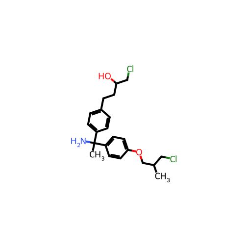 CC(CCl)COc1ccc(C(C)(N)c2ccc(CCC(O)CCl)cc2)cc1